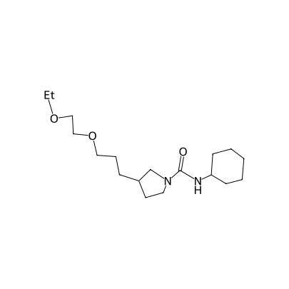 CCOCCOCCCC1CCN(C(=O)NC2CCCCC2)C1